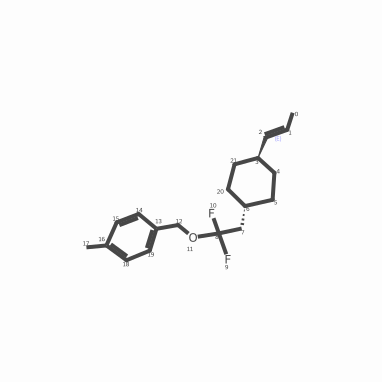 C/C=C/[C@H]1CC[C@H](CC(F)(F)OCc2ccc(C)cc2)CC1